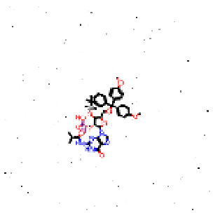 COc1ccc(C(OC[C@H]2O[C@@H](n3cnc4c(=O)[nH]c(NC(=O)C(C)C)nc43)[C@@H](O[PH](=O)O)C2O[Si](C)(C)C(C)(C)C)(c2ccccc2)c2ccc(OC)cc2)cc1